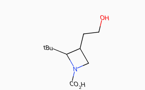 CC(C)(C)C1C(CCO)CN1C(=O)O